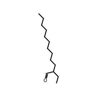 CCCCCCCCCCC([C]=O)CC